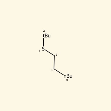 [CH2]CCCCCSC(C)(C)C